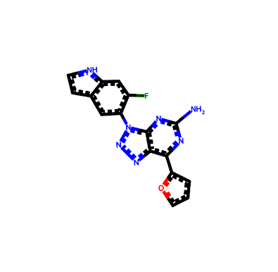 Nc1nc(-c2ccco2)c2nnn(-c3cc4cc[nH]c4cc3F)c2n1